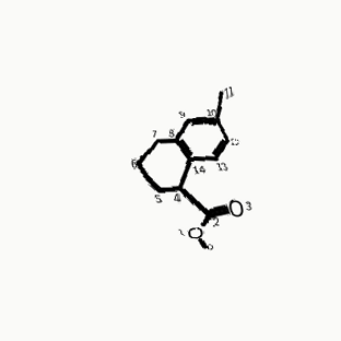 COC(=O)C1CCCc2cc(C)ccc21